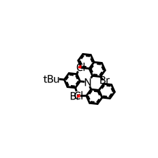 CC(C)(C)c1cc(Cl)c(N(c2c(Br)ccc3ccccc23)c2c(Br)ccc3ccccc23)c(Cl)c1